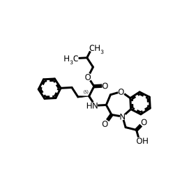 CC(C)COC(=O)[C@H](CCc1ccccc1)NC1COc2ccccc2N(CC(=O)O)C1=O